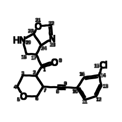 O=C(C1CCOCC1C#Cc1cccc(Cl)c1)C1CNC2OC=NC21